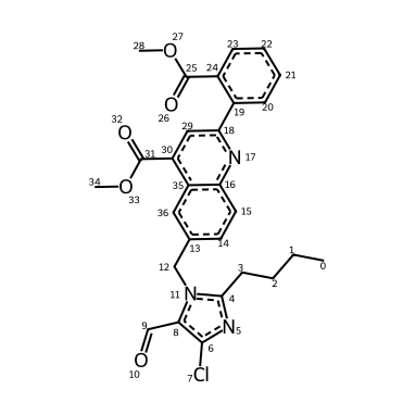 CCCCc1nc(Cl)c(C=O)n1Cc1ccc2nc(-c3ccccc3C(=O)OC)cc(C(=O)OC)c2c1